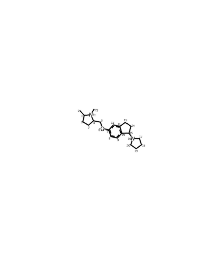 CC1CCC(COc2ccc3c(c2)CCC3N2CCCC2)N1C